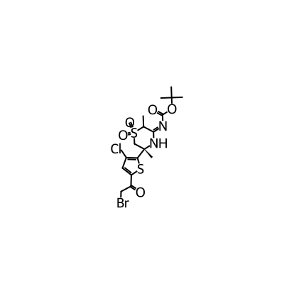 CC1/C(=N\C(=O)OC(C)(C)C)N[C@](C)(c2sc(C(=O)CBr)cc2Cl)CS1(=O)=O